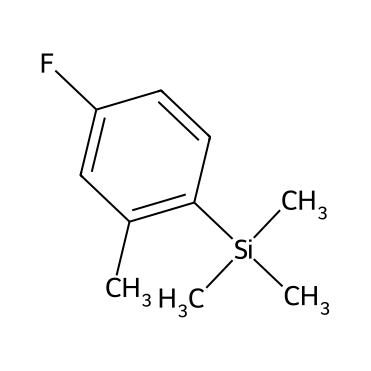 Cc1cc(F)ccc1[Si](C)(C)C